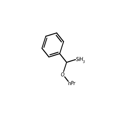 CCCOC([SiH3])c1ccccc1